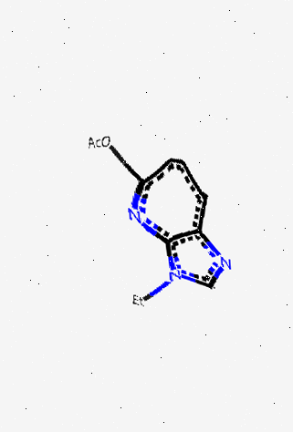 CCn1[c]nc2ccc(OC(C)=O)nc21